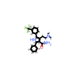 CN(C)CCc1c(-c2cccc(C(F)(F)F)c2)[nH]c(-c2ccccc2)c1C(N)=O